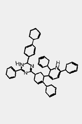 C1=CCC(C2=CC=C(C3CC(C4=NC(C5C=CC(C6C=CCCC6)=CC5)NC(C5=CCCC=C5)=N4)CC=C3C3CC=CCC3)C(C3C=CC=CC3)N2)C=C1